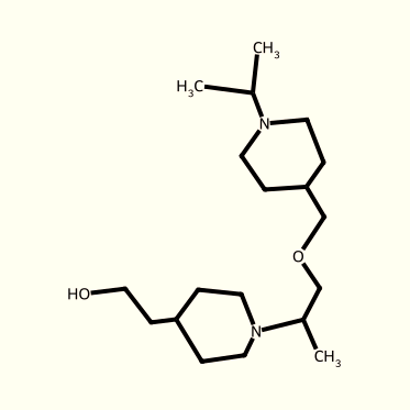 CC(C)N1CCC(COCC(C)N2CCC(CCO)CC2)CC1